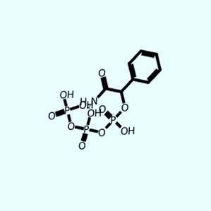 NC(=O)C(OP(=O)(O)OP(=O)(O)OP(=O)(O)O)c1ccccc1